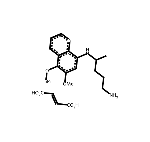 CCCOc1c(OC)cc(NC(C)CCCN)c2ncccc12.O=C(O)C=CC(=O)O